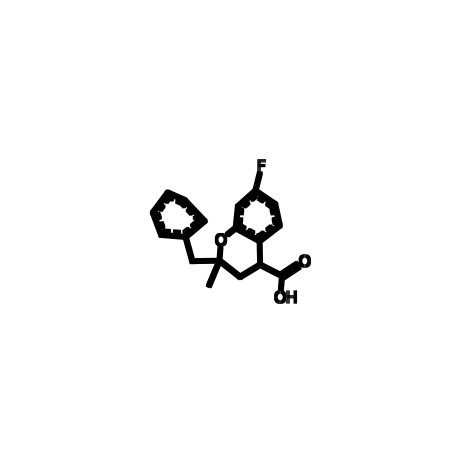 CC1(Cc2ccccc2)CC(C(=O)O)c2ccc(F)cc2O1